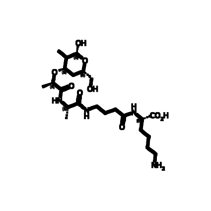 CC1[C@H](O)O[C@H](CO)C[C@@H]1O[C@H](C)C(=O)N[C@@H](C)C(=O)NCCCC(=O)N[C@@H](CCCCN)C(=O)O